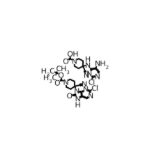 CC(C)(C)OC(=O)N1CCC(C#N)(n2c(=O)[nH]c3cnc(Cl)nc32)CC1.N#CC1(Nc2nc(Cl)ncc2N)CCN(C(=O)O)CC1